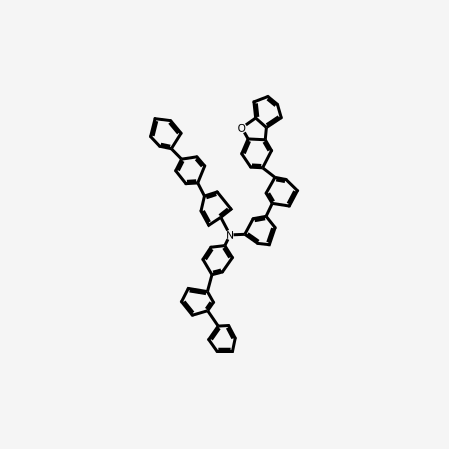 c1ccc(-c2ccc(-c3ccc(N(c4ccc(-c5cccc(-c6ccccc6)c5)cc4)c4cccc(-c5cccc(-c6ccc7oc8ccccc8c7c6)c5)c4)cc3)cc2)cc1